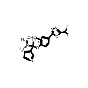 CN(C)C(C)(Oc1ccc(-c2nnc(C(F)F)o2)cc1C=O)c1cccnc1